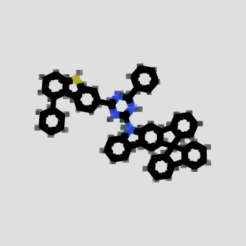 c1ccc(-c2nc(-c3ccc4c(c3)sc3cccc(-c5ccccc5)c34)nc(-n3c4ccccc4c4cc5c(cc43)-c3ccccc3C53c4ccccc4-c4ccccc43)n2)cc1